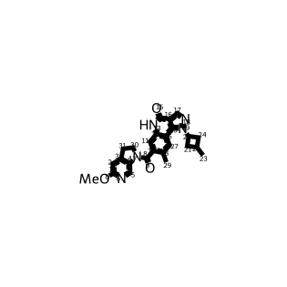 COc1cc2c(cn1)N(C(=O)c1cc3[nH]c(=O)c4cnn(C5CC(C)C5)c4c3cc1C)CC2